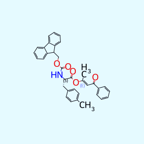 C/C(=C\C(=O)c1ccccc1)OC(=O)[C@H](Cc1ccc(C)cc1)NC(=O)OCC1c2ccccc2-c2ccccc21